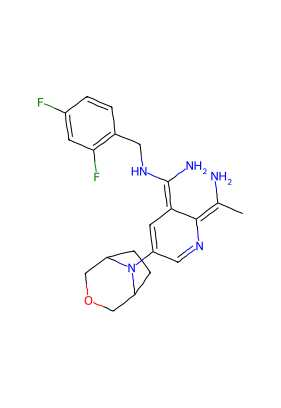 C/C(N)=c1\ncc(N2C3CCC2COC3)c\c1=C(\N)NCc1ccc(F)cc1F